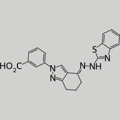 O=C(O)c1cccc(-n2cc3c(n2)CCCC3=NNc2nc3ccccc3s2)c1